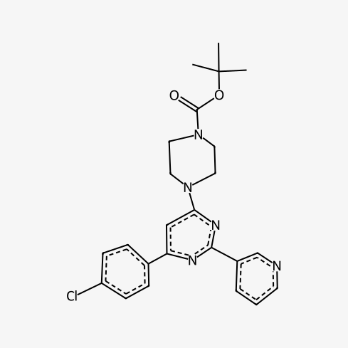 CC(C)(C)OC(=O)N1CCN(c2cc(-c3ccc(Cl)cc3)nc(-c3cccnc3)n2)CC1